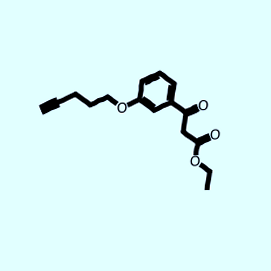 C#CCCCOc1cccc(C(=O)CC(=O)OCC)c1